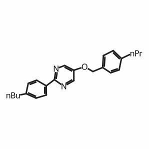 CCCCc1ccc(-c2ncc(OCc3ccc(CCC)cc3)cn2)cc1